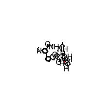 CNC(=O)c1cc(-c2cccc(CN3O[C@@H](CNCC(C)C)[C@@H]([C@H](C)O)[C@H]3C(=O)N[C@H]3C[C@H]4C[C@@H]([C@@H]3C)C4(C)C)c2C)cc(N(C)C)c1